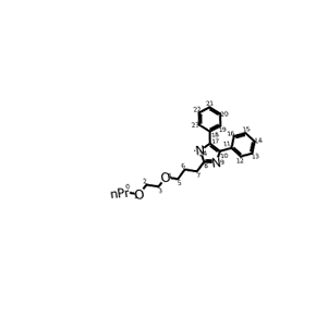 CCCOCCOCCCC1=NC(c2ccccc2)=C(c2ccccc2)[N]1